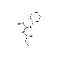 C=N/C(OC1CCCCC1)=C(\C)C(=C)CC